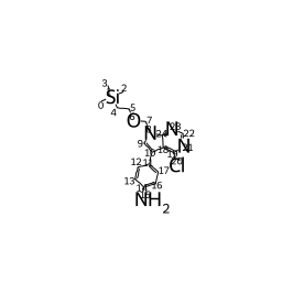 C[Si](C)(C)CCOCn1cc(-c2ccc(N)cc2)c2c(Cl)ncnc21